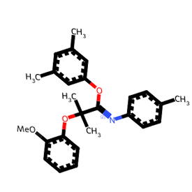 COc1ccccc1OC(C)(C)/C(=N/c1ccc(C)cc1)Oc1cc(C)cc(C)c1